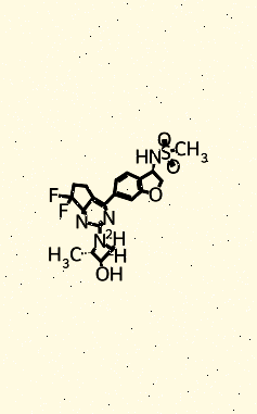 [2H]C1([2H])[C@@H](O)[C@H](C)N1c1nc(-c2ccc3c(c2)OC[C@@H]3NS(C)(=O)=O)c2c(n1)C(F)(F)CC2